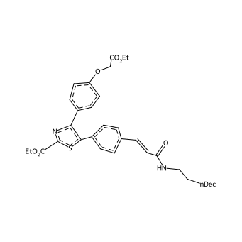 CCCCCCCCCCCCNC(=O)C=Cc1ccc(-c2sc(C(=O)OCC)nc2-c2ccc(OCC(=O)OCC)cc2)cc1